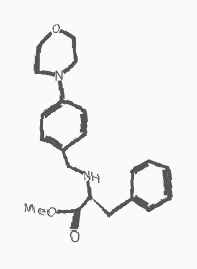 COC(=O)[C@H](Cc1ccccc1)NCc1ccc(N2CCOCC2)cc1